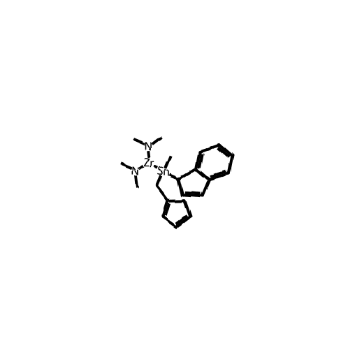 C[N](C)[Zr]([N](C)C)[Sn]([CH3])([CH2]C1=CC=CC1)[CH]1C=Cc2ccccc21